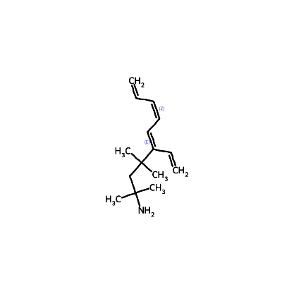 C=C/C=C\C=C(/C=C)C(C)(C)CC(C)(C)N